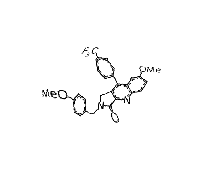 COc1ccc(CN2Cc3c(nc4ccc(OC)cc4c3-c3ccc(C(F)(F)F)cc3)C2=O)cc1